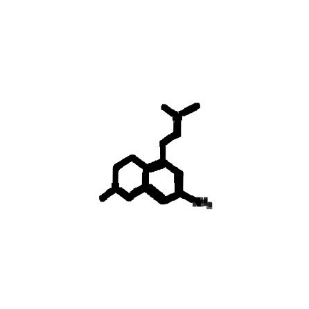 CN(C)CCc1cc(N)cc2c1CCN(C)C2